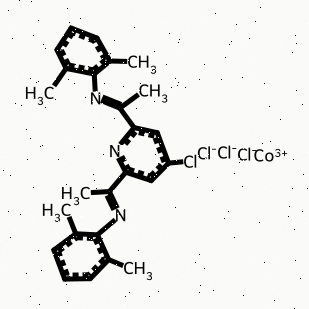 CC(=Nc1c(C)cccc1C)c1cc(Cl)cc(C(C)=Nc2c(C)cccc2C)n1.[Cl-].[Cl-].[Cl-].[Co+3]